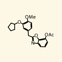 COc1ccc(Cc2nc3cccc(OC(C)=O)c3o2)cc1OC1CCCC1